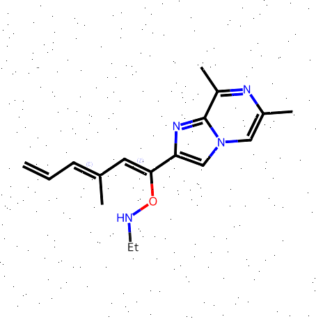 C=C/C=C(C)/C=C(\ONCC)c1cn2cc(C)nc(C)c2n1